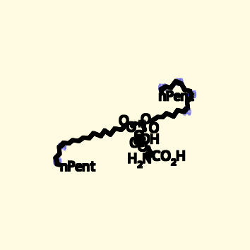 CCCCC/C=C\C/C=C\C/C=C\C/C=C\CCCCCC(=O)O[C@H](COC(=O)CCCCCCCCCCC/C=C\C/C=C\CCCCC)COP(=O)(O)OC[C@H](N)C(=O)O